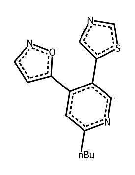 CCCCc1cc(-c2ccno2)c(-c2cncs2)[c]n1